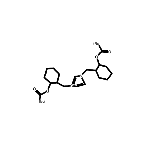 CC(C)(C)C(=O)OC1CCCCC1Cn1cc[n+](CC2CCCCC2OC(=O)C(C)(C)C)c1